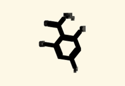 NC(=O)c1c(Cl)cc(F)cc1Cl